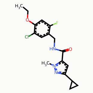 CCOc1cc(F)c(CNC(=O)c2cc(C3CC3)nn2C)cc1Cl